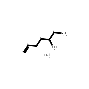 C=CCCC(O)CN.Cl